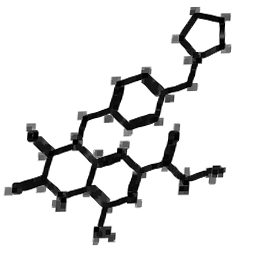 CCCNC(=O)c1nc(N)c2[nH]c(=O)c(=O)n(Cc3ccc(CN4CCCC4)cc3)c2n1